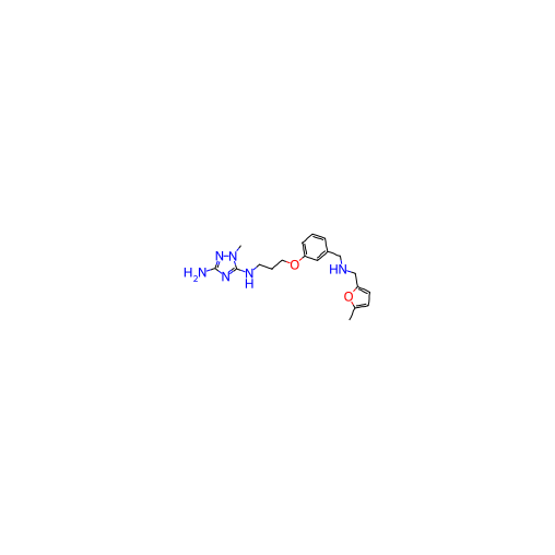 Cc1ccc(CNCc2cccc(OCCCNc3nc(N)nn3C)c2)o1